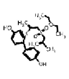 C=C(C)CS(=O)(=O)CC(=C)C.CCOCC.Oc1ccc(-c2ccc(O)cc2)cc1